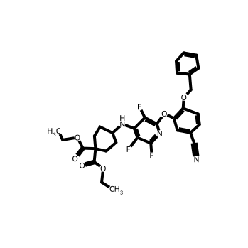 CCOC(=O)C1(C(=O)OCC)CCC(Nc2c(F)c(F)nc(Oc3cc(C#N)ccc3OCc3ccccc3)c2F)CC1